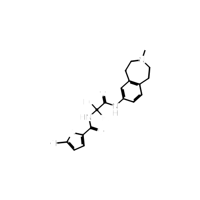 CCC(CC)(NC(=O)c1ccc(Cl)s1)C(=O)Nc1ccc2c(c1)CCN(C)CC2